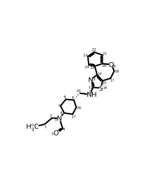 CCCN(C=O)[C@H]1CC[C@H](CNc2nc3c(s2)CCOc2ccccc2-3)CC1